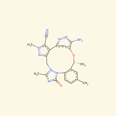 Cc1ccc2c(c1)[C@@H](C)Oc1cc(nnc1N)-c1c(nn(C)c1C#N)Cn1c(C)nc(=O)n1-2